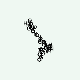 [2H]C([2H])([2H])Oc1ncc(-c2ccnc(N3CCc4c(sc5c4CCCC5)C3=O)c2CO)cc1Nc1ccc(N2CCN(C3CCN(c4ccc5c(c4)C(=O)N([C@H]4CCC(=O)NC4=O)C5=O)CC3)C[C@@H]2C)cn1